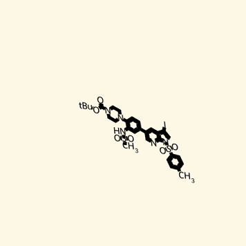 Cc1ccc(S(=O)(=O)n2cc(I)c3cc(-c4ccc(N5CCN(C(=O)OC(C)(C)C)CC5)c(NS(C)(=O)=O)c4)cnc32)cc1